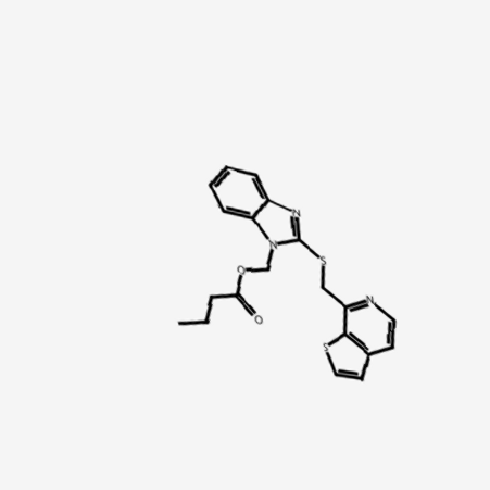 CCCC(=O)OCn1c(SCc2nccc3ccsc23)nc2ccccc21